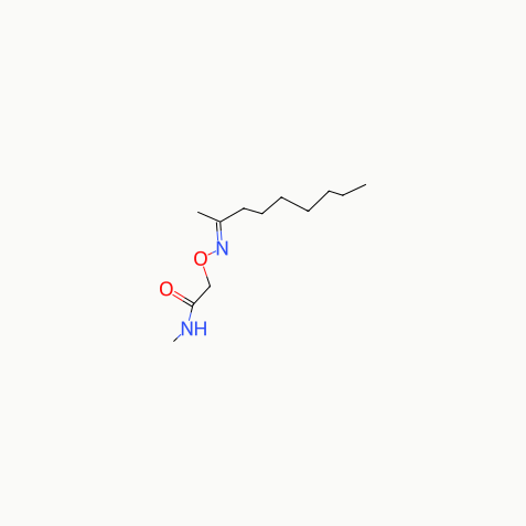 CCCCCCCC(C)=NOCC(=O)NC